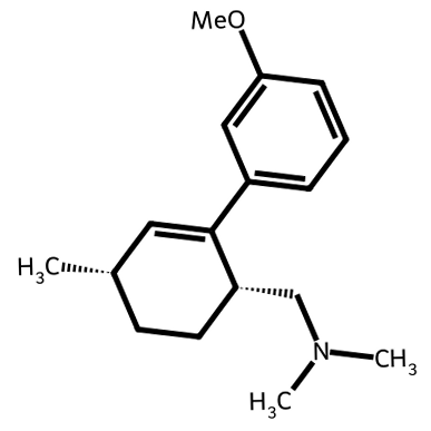 COc1cccc(C2=C[C@@H](C)CC[C@H]2CN(C)C)c1